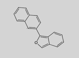 [c]1c(-c2occ3ccccc23)ccc2ccccc12